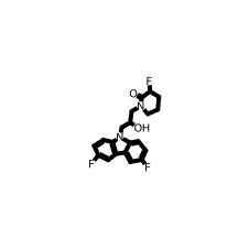 O=C1C(F)CCCN1CC(O)Cn1c2ccc(F)cc2c2cc(F)ccc21